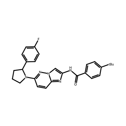 CC(C)(C)c1ccc(C(=O)Nc2cn3nc(N4CCCC4c4ccc(F)cc4)ccc3n2)cc1